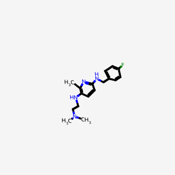 Cc1nc(NCc2ccc(F)cc2)ccc1NCCN(C)C